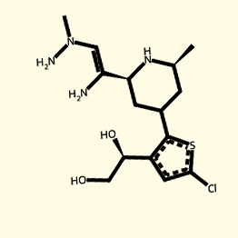 C[C@H]1CC(c2sc(Cl)cc2[C@H](O)CO)C[C@@H](/C(N)=C/N(C)N)N1